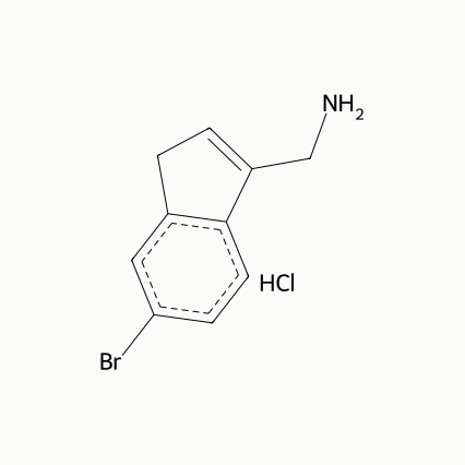 Cl.NCC1=CCc2cc(Br)ccc21